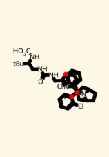 CC(C)(C)C(CNC(=O)NCc1cccc(C2(O)CC3CCC(C2)N3C(c2ccccc2Cl)c2ccccc2Cl)n1)NC(=O)O